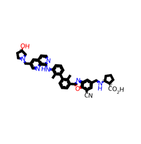 Cc1c(Nc2nccc3cc(CN4CC[C@@H](O)C4)cnc23)cccc1-c1cccc(-c2nc3cc(CN[C@H]4CCC[C@@H]4C(=O)O)cc(C#N)c3o2)c1C